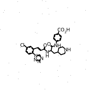 O=C(C=Cc1cc(Cl)ccc1-n1cnnn1)NC(CC1CCNCC1)C(=O)Nc1ccc(C(=O)O)cc1